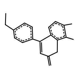 C=C1C=C(c2ccc(CC)cc2)c2ccc(C)c(C)c2C1